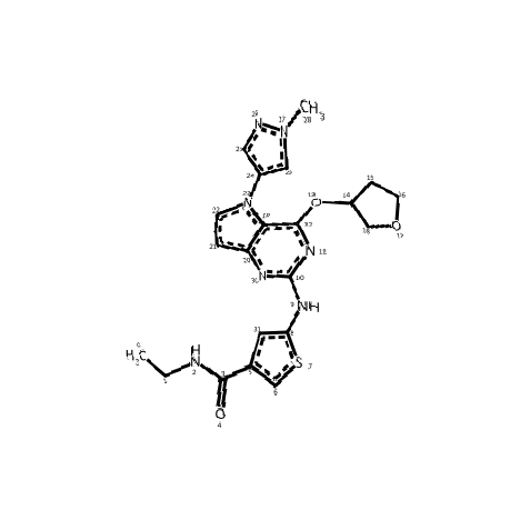 CCNC(=O)c1csc(Nc2nc(OC3CCOC3)c3c(ccn3-c3cnn(C)c3)n2)c1